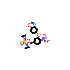 O=[N+]([O-])c1ccc(COP(=O)(N2CC2)N2CC2)cc1Oc1ccc2ocnc2c1